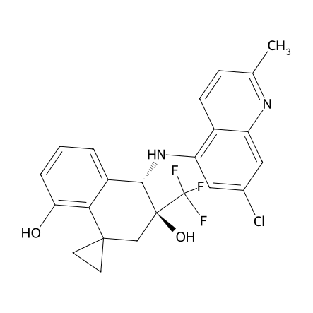 Cc1ccc2c(N[C@H]3c4cccc(O)c4C4(CC4)C[C@@]3(O)C(F)(F)F)cc(Cl)cc2n1